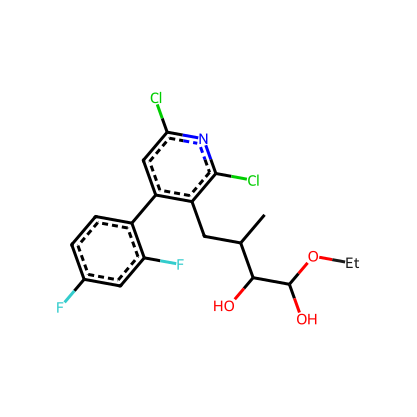 CCOC(O)C(O)C(C)Cc1c(-c2ccc(F)cc2F)cc(Cl)nc1Cl